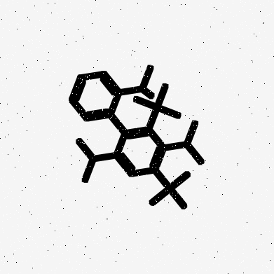 CC(C)c1ccccc1-c1c(C(C)C)cc(C(C)(C)C)c(C(C)C)c1C(C)(C)C